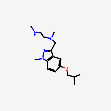 CNCCN(C)Cc1nn(C)c2ccc(OCC(C)C)cc12